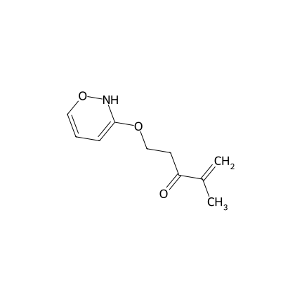 C=C(C)C(=O)CCOC1=CC=CON1